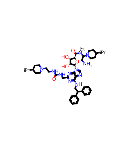 CCN(C(=O)[C@H]1O[C@@H](n2cnc3c(NCC(c4ccccc4)c4ccccc4)nc(CNC(=O)NCCN4CCC(C(C)C)CC4)nc32)[C@H](O)[C@@H]1O)C(CN)N1CCC(C(C)C)CC1